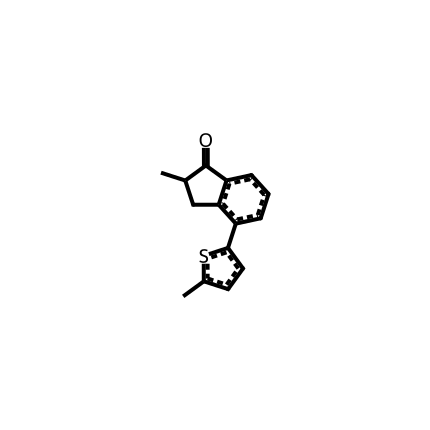 Cc1ccc(-c2cccc3c2CC(C)C3=O)s1